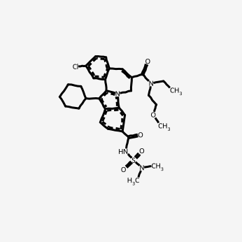 CCN(CCOC)C(=O)C1=Cc2ccc(Cl)cc2-c2c(C3CCCCC3)c3ccc(C(=O)NS(=O)(=O)N(C)C)cc3n2C1